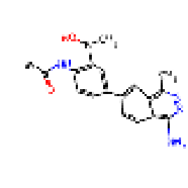 CB(O)c1cc(-c2ccc3c(N)nnc(C)c3c2)ccc1NC(=O)C(C)C